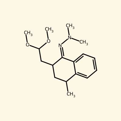 COC(CC1CC(C)c2ccccc2C1=NN(C)C)OC